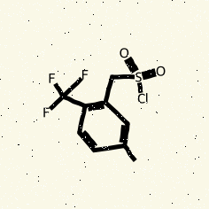 Cc1ccc(C(F)(F)F)c(CS(=O)(=O)Cl)c1